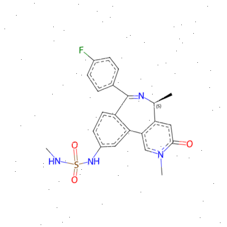 CNS(=O)(=O)Nc1ccc2c(c1)-c1cn(C)c(=O)cc1[C@H](C)N=C2c1ccc(F)cc1